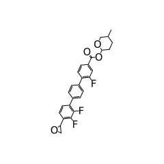 CC1CCC(OC(=O)c2ccc(-c3ccc(-c4ccc(C5CO5)c(F)c4F)cc3)c(F)c2)OC1